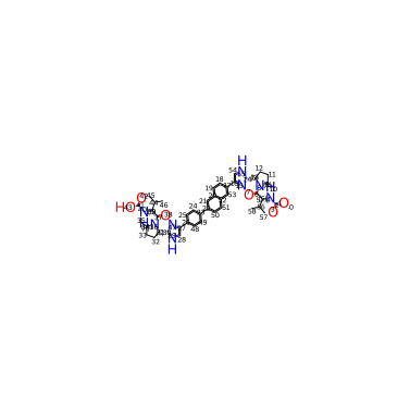 COC(=O)N[C@H](C(=O)N1[C@H](C)CC[C@H]1c1nc(-c2ccc3cc(-c4ccc(-c5c[nH]c([C@@H]6CC[C@@H](C)N6C(=O)[C@@H](NC(=O)O)C(C)C)n5)cc4)ccc3c2)c[nH]1)C(C)C